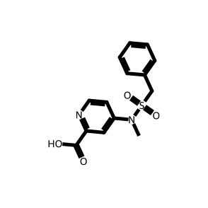 CN(c1ccnc(C(=O)O)c1)S(=O)(=O)Cc1ccccc1